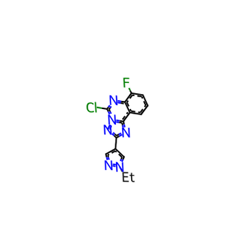 CCn1cc(-c2nc3c4cccc(F)c4nc(Cl)n3n2)cn1